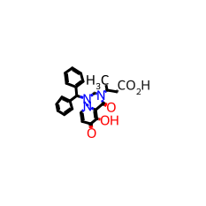 CC(CC(=O)O)N1CN(C(c2ccccc2)c2ccccc2)n2ccc(=O)c(O)c2C1=O